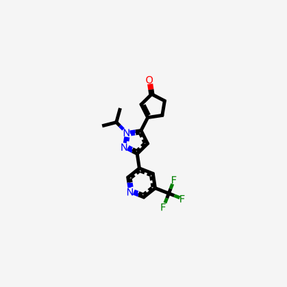 CC(C)n1nc(-c2cncc(C(F)(F)F)c2)cc1C1=CC(=O)CC1